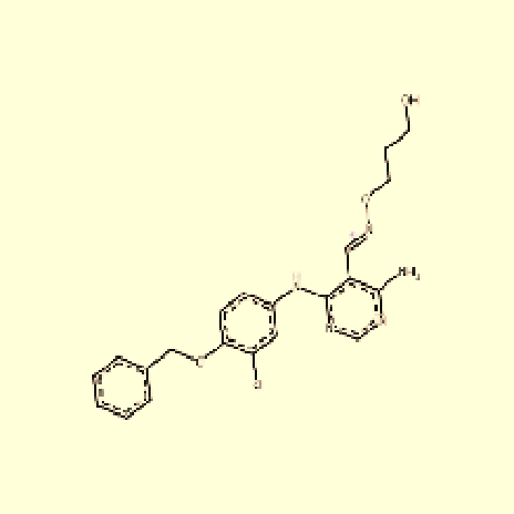 Nc1ncnc(Nc2ccc(OCc3ccccc3)c(Cl)c2)c1/C=N/OCCCO